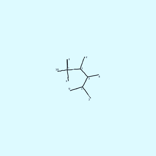 CC(C)C(C)C(C)C(C)(C)C